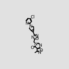 Cc1noc2ncn(Cc3nc(C4C5CN(c6cc(Cl)ccn6)CC54)no3)c(=O)c12